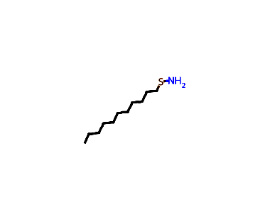 CCCCCCCCCCCSN